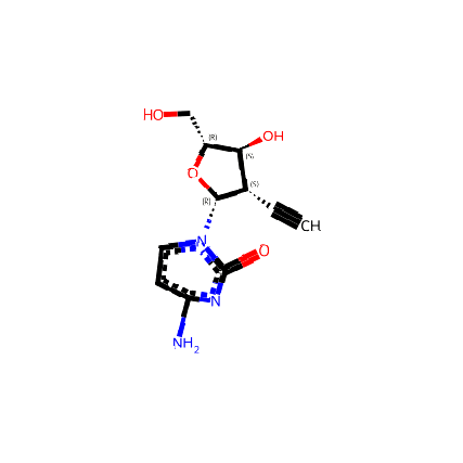 C#C[C@H]1[C@H](O)[C@@H](CO)O[C@H]1n1ccc(N)nc1=O